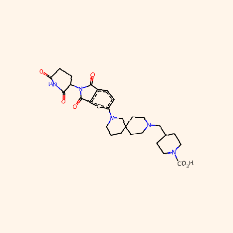 O=C1CCC(N2C(=O)c3ccc(N4CCCC5(CCN(CC6CCN(C(=O)O)CC6)CC5)C4)cc3C2=O)C(=O)N1